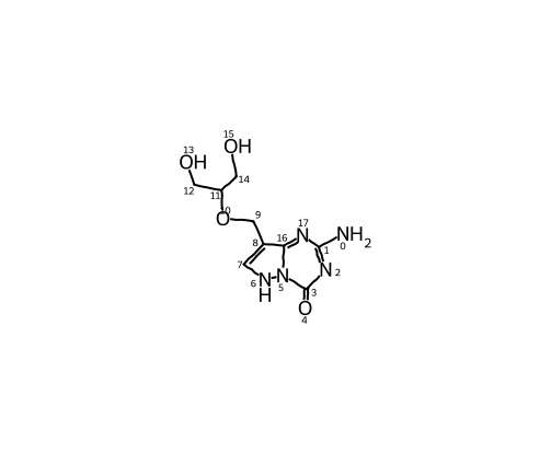 Nc1nc(=O)n2[nH]cc(COC(CO)CO)c2n1